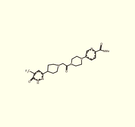 CNC(=O)c1ccc(N2CCN(C(=O)CN3CCC(c4cc(C(F)(F)F)c(=O)[nH]n4)CC3)CC2)cn1